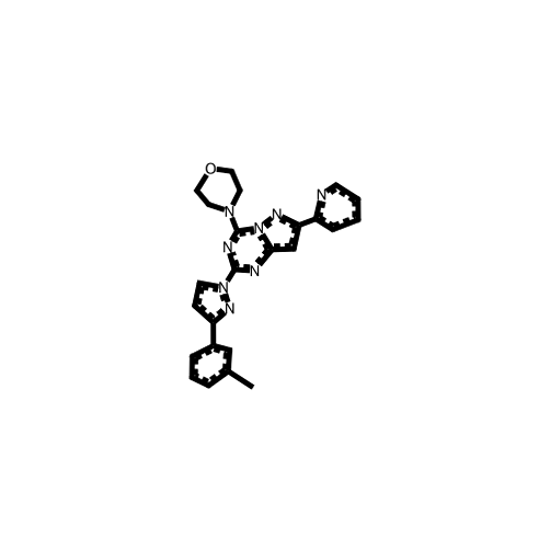 Cc1cccc(-c2ccn(-c3nc(N4CCOCC4)n4nc(-c5ccccn5)cc4n3)n2)c1